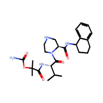 CC(C)[C@H](NC(=O)C(C)(C)OC(N)=O)C(=O)N1CCNC[C@H]1C(=O)NC1CCCc2ccccc21